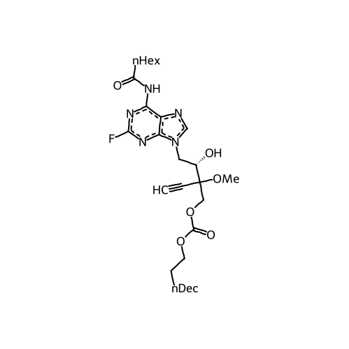 C#CC(COC(=O)OCCCCCCCCCCCC)(OC)[C@@H](O)Cn1cnc2c(NC(=O)CCCCCC)nc(F)nc21